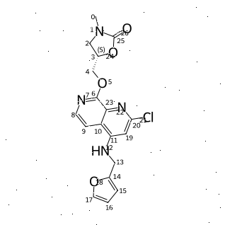 CN1C[C@@H](COc2nccc3c(NCc4ccco4)cc(Cl)nc23)OC1=O